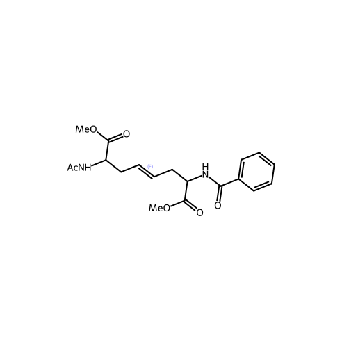 COC(=O)C(C/C=C/CC(NC(=O)c1ccccc1)C(=O)OC)NC(C)=O